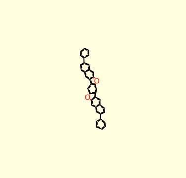 c1ccc(-c2ccc3cc4c(cc3c2)oc2cc3c(cc24)oc2cc4cc(-c5ccccc5)ccc4cc23)cc1